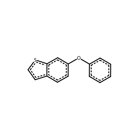 c1ccc(Oc2ccc3ccsc3c2)cc1